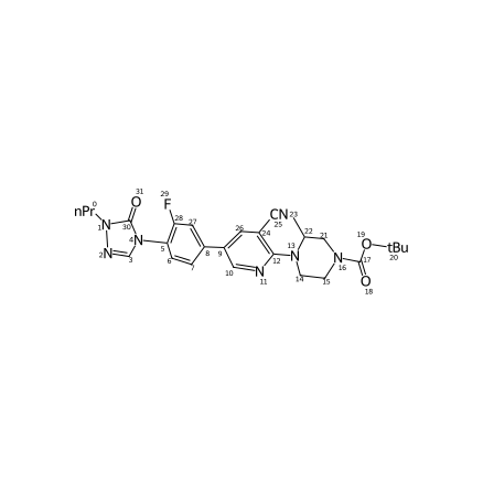 CCCn1ncn(-c2ccc(-c3cnc(N4CCN(C(=O)OC(C)(C)C)CC4C)c(C#N)c3)cc2F)c1=O